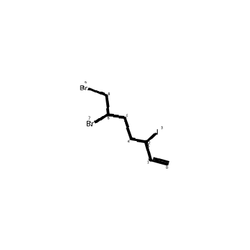 C=CC(I)CCC(Br)CBr